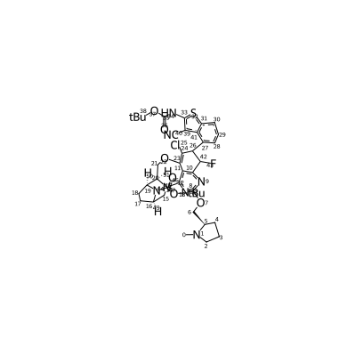 CN1CCC[C@@H]1COc1nc2c3c(n1)N1C[C@H]4CC[C@@H]([C@H]1COC3=C(Cl)C(c1cccc3sc(NC(=O)OC(C)(C)C)c(C#N)c13)C2F)N4C(=O)OC(C)(C)C